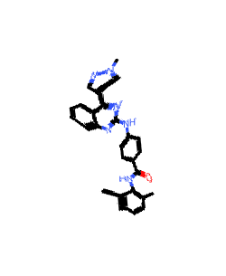 Cc1cccc(C)c1NC(=O)c1ccc(Nc2nc(-c3cnn(C)c3)c3ccccc3n2)cc1